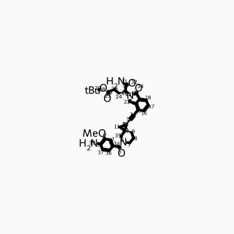 COc1cc(C(=O)N2CCC[C@]3(C[C@H]3C#Cc3cccc4c3CN([C@@H](CCC(=O)OC(C)(C)C)C(N)=O)C4=O)C2)ccc1N